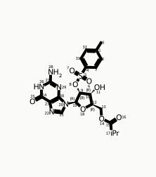 Cc1ccc(S(=O)(=O)O[C@@H]2[C@H](O)[C@@H](COC(=O)C(C)C)O[C@H]2n2cnc3c(=O)[nH]c(N)nc32)cc1